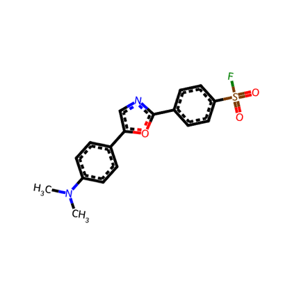 CN(C)c1ccc(-c2cnc(-c3ccc(S(=O)(=O)F)cc3)o2)cc1